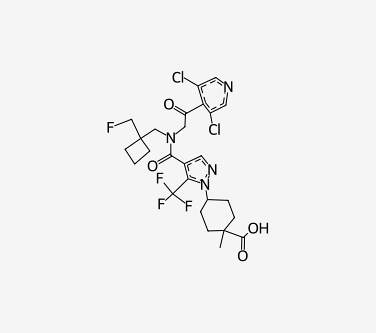 CC1(C(=O)O)CCC(n2ncc(C(=O)N(CC(=O)c3c(Cl)cncc3Cl)CC3(CF)CCC3)c2C(F)(F)F)CC1